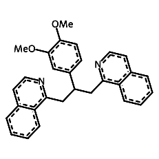 COc1ccc(C(Cc2nccc3ccccc23)Cc2nccc3ccccc23)cc1OC